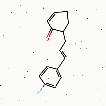 O=C1C=CCCC1C/C=C/c1ccc(F)cc1